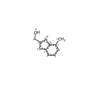 Cc1cccc2sc(CO)nc12